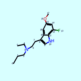 CCCN(CC)CCc1c[nH]c2c(F)cc(OC)cc12